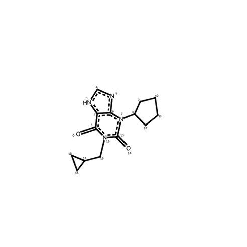 O=c1c2[nH]cnc2n(C2CCCC2)c(=O)n1CC1CC1